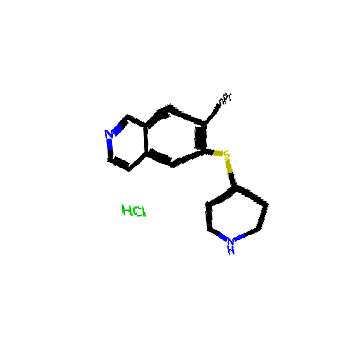 CCCc1cc2cnccc2cc1SC1CCNCC1.Cl